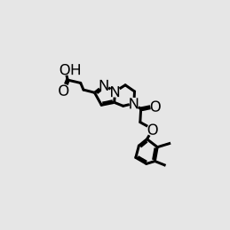 Cc1cccc(OCC(=O)N2CCn3nc(CCC(=O)O)cc3C2)c1C